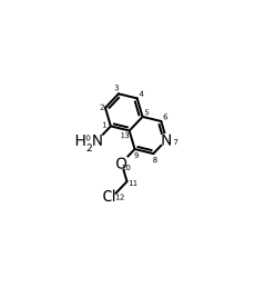 Nc1cccc2cncc(OCCl)c12